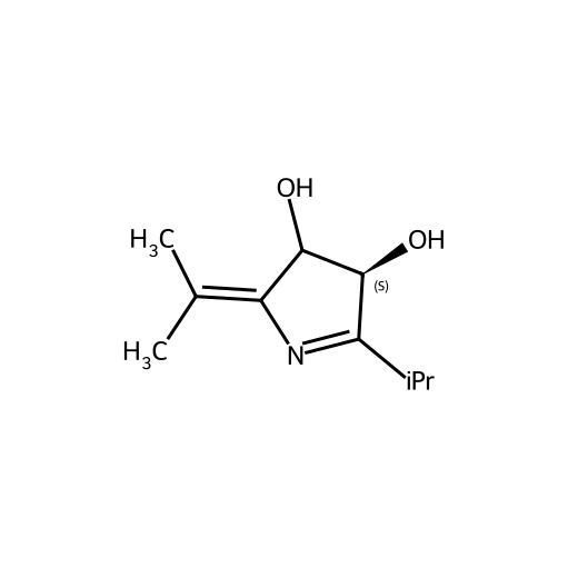 CC(C)=C1N=C(C(C)C)[C@H](O)C1O